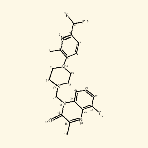 Cc1nc(C(F)F)ccc1N1CCN(Cn2c(=O)c(C)nc3c(F)cccc32)CC1